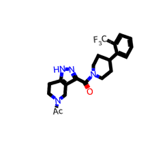 CC(=O)N1CCc2[nH]nc(C(=O)N3CCC(c4ccccc4C(F)(F)F)CC3)c2C1